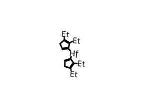 CCC1=C(CC)[C]([Hf][C]2=CCC(CC)=C2CC)=CC1